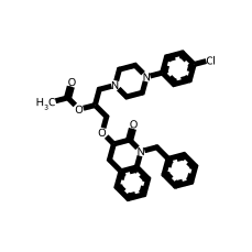 CC(=O)OC(COC1Cc2ccccc2N(Cc2ccccc2)C1=O)CN1CCN(c2ccc(Cl)cc2)CC1